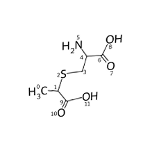 CC(SCC(N)C(=O)O)C(=O)O